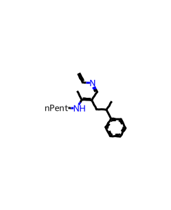 C=C/N=C\C(CC(C)c1ccccc1)=C(/C)NCCCCC